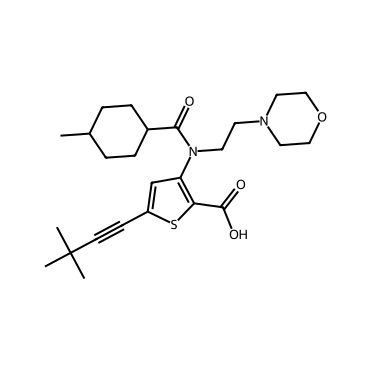 CC1CCC(C(=O)N(CCN2CCOCC2)c2cc(C#CC(C)(C)C)sc2C(=O)O)CC1